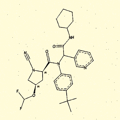 CC(C)(C)c1ccc(N(C(=O)[C@H]2C[C@@H](OC(F)F)CN2C#N)C(C(=O)NC2CCCCC2)c2cccnc2)cc1